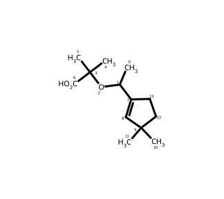 CC(OC(C)(C)C(=O)O)C1=CC(C)(C)CC1